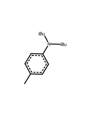 CCC(C)N(c1ccc(C)cc1)C(C)CC